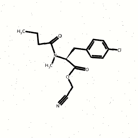 CCCC(=O)N(C)[C@@H](Cc1ccc(Cl)cc1)C(=O)OCC#N